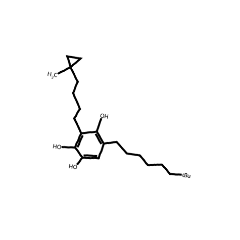 CC(C)(C)CCCCCCc1cc(O)c(O)c(CCCCC2(C)CC2)c1O